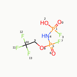 O=P(O)(F)NP(=O)(F)OCC(F)(F)F